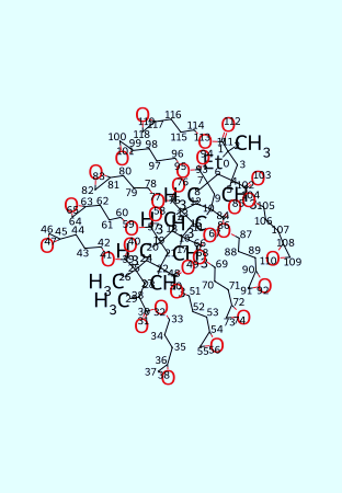 CCC(C)(CC(C)(CC(C)(CC(C)(CC(C)(CC(C)(CC(C)(CC(C)(CC(C)(CC(C)C(=O)OCCCC1CO1)C(=O)OCCCC1CO1)C(=O)OCCCC1CO1)C(=O)OCCCC1CO1)C(=O)OCCCC1CO1)C(=O)OCCCC1CO1)C(=O)OCCCC1CO1)C(=O)OCCCC1CO1)C(=O)OCCCC1CO1)C(=O)OCCCC1CO1